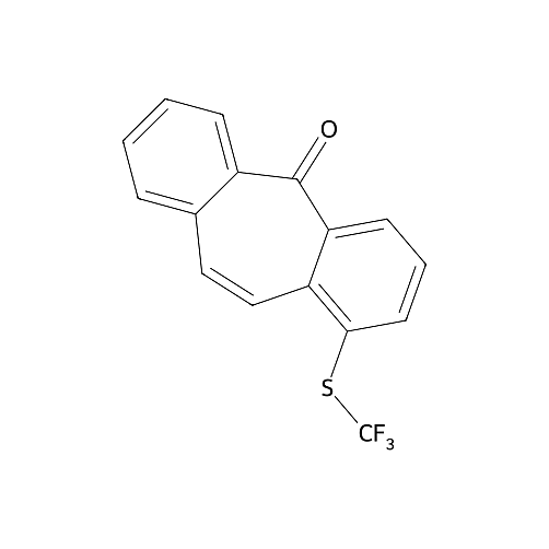 O=c1c2ccccc2ccc2c(SC(F)(F)F)cccc12